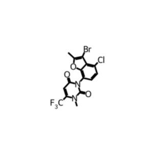 Cc1oc2c(-n3c(=O)cc(C(F)(F)F)n(C)c3=O)ccc(Cl)c2c1Br